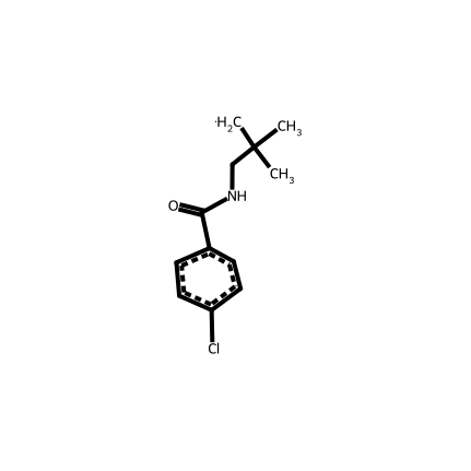 [CH2]C(C)(C)CNC(=O)c1ccc(Cl)cc1